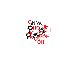 CNC(=O)c1ccc(-c2ccc(C)c(O[C@H]3O[C@H](CO)[C@@H](O)[C@H](C[C@H]4O[C@H](CO)[C@@H](O)[C@H](O)[C@@H]4O)[C@@H]3O)c2)cc1